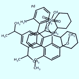 COc1ccc(OC)c(P(OS(C)(=O)=O)(c2ccccc2-c2ccccc2N)(C2CCCCC2)C2CCCCC2)c1-c1c(C(C)C)cc(C(C)C)cc1C(C)C.[Pd]